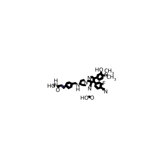 CN(C)c1ccc(-c2cnc(N3CCC(NCc4ccc(/C=C/C(=O)NO)cc4)CC3)c(C#N)c2-c2ccc(C#N)c(F)c2)cc1O.O=CO